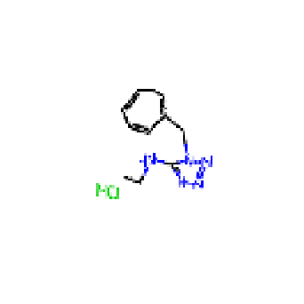 CCNc1nnnn1Cc1ccccc1.Cl